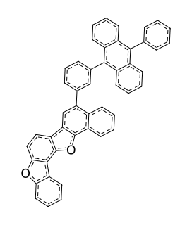 c1ccc(-c2c3ccccc3c(-c3cccc(-c4cc5c6ccc7oc8ccccc8c7c6oc5c5ccccc45)c3)c3ccccc23)cc1